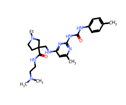 CCN1CCC(CNc2cc(C)nc(NC(=O)Nc3ccc(C)cc3)n2)(C(=O)NCCN(C)C)C1